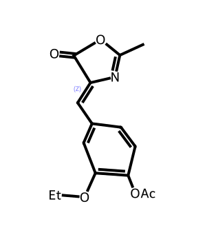 CCOc1cc(/C=C2\N=C(C)OC2=O)ccc1OC(C)=O